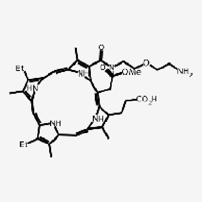 CCC1=C(C)C2/C=C3\N/C(=C(/CC(=O)OC)C4N/C(=C\c5[nH]c(c(C)c5CC)/C=C/1N2)C(C)=C4C(=O)NCCOCCN)C(CCC(=O)O)C3C